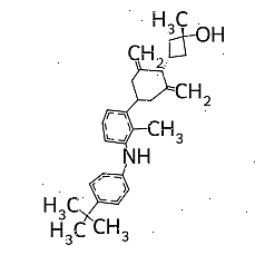 C=C1CC(c2cccc(Nc3ccc(C(C)(C)C)cc3)c2C)CC(=C)C1[C@H]1C[C@@](C)(O)C1